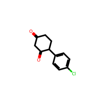 O=C1CCC(c2ccc(Cl)cc2)C(=O)C1